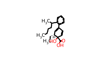 CCCCC(C)c1ccccc1C1=C[C@@H](CC)C(O)(C(=O)O)C=C1